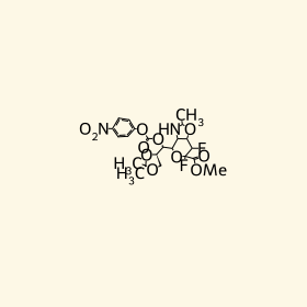 COC(=O)C1(F)OC([C@H](OC(=O)Oc2ccc([N+](=O)[O-])cc2)[C@H]2COC(C)(C)O2)C2NC(C)OC2C1F